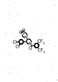 O=C(c1cc(C(F)(F)F)cc(C(F)(F)F)c1)N1CCC(N2CCS(=O)(=O)CC2)C(c2ccc(Cl)c(Cl)c2)C1